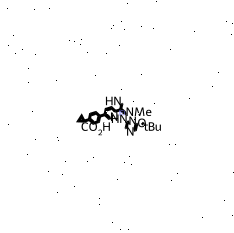 CN/C(Nc1cncc(OC(C)(C)C)n1)=C(\C=N)c1ccc(-c2ccc(C3(C(=O)O)CC3)cc2)cn1